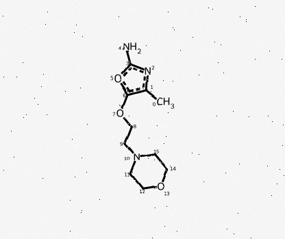 Cc1nc(N)oc1OCCN1CCOCC1